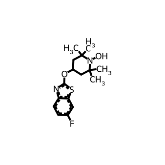 CC1(C)CC(Oc2nc3ccc(F)cc3s2)CC(C)(C)N1O